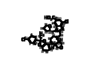 C[C@]1(c2ccc(Cl)cn2)Oc2cccc(N3CCN(Cc4nc5c(Cl)cc(C(=O)O)cc5n4C[C@@H]4CCCO4)[C@@H]4COC[C@@H]43)c2O1